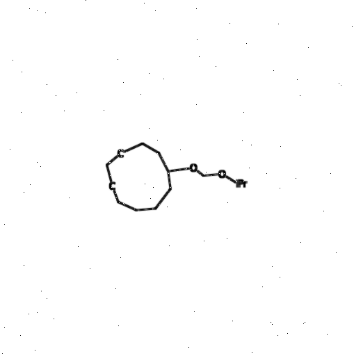 CC(C)OCOC1CCCCCCCCC1